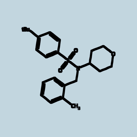 Cc1ccccc1CN(C1CCOCC1)S(=O)(=O)c1ccc(C(C)(C)C)cc1